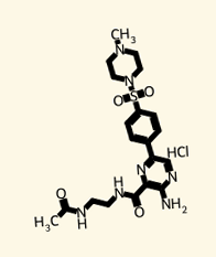 CC(=O)NCCNC(=O)c1nc(-c2ccc(S(=O)(=O)N3CCN(C)CC3)cc2)cnc1N.Cl